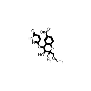 COCC1(C)Oc2ccc([N+](=O)[O-])cc2C(Oc2ccc(=O)[nH]n2)C1O